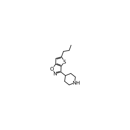 CCCc1cc2onc(C3CCNCC3)c2s1